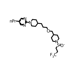 CCCc1cnc(N2CCC(CCCOCC3CCN([S+]([O-])CCC(F)(F)F)CC3)CC2)nc1